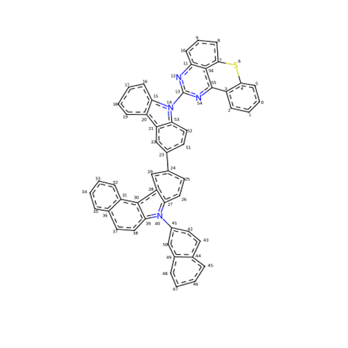 c1ccc2c(c1)Sc1cccc3nc(-n4c5ccccc5c5cc(-c6ccc7c(c6)c6c8ccccc8ccc6n7-c6ccc7ccccc7c6)ccc54)nc-2c13